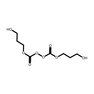 O=C(OCCCO)OOC(=O)OCCCO